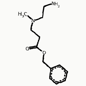 CN(CCN)CCC(=O)OCc1ccccc1